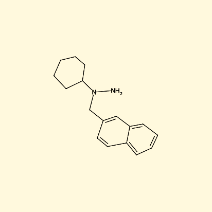 NN(Cc1ccc2ccccc2c1)C1CCCCC1